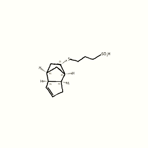 O=S(=O)(O)CCCS[C@H]1C[C@H]2C[C@@H]1[C@H]1CC=C[C@@H]21